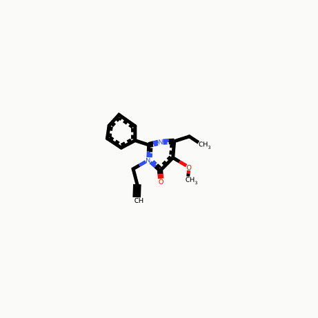 C#CCn1c(-c2ccccc2)nc(CC)c(OC)c1=O